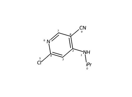 CC(C)Nc1cc(Cl)ncc1C#N